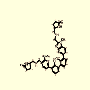 COc1nc(-c2cccc(-c3cccc(-c4ccc5c(n4)nc(CNCC4CCC(=O)N4)n5C)c3Cl)c2Cl)ccc1CNCC1CCC(=O)N1